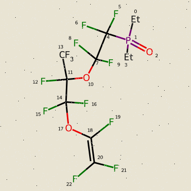 CCP(=O)(CC)C(F)(F)C(F)(F)OC(F)(C(F)(F)F)C(F)(F)OC(F)=C(F)F